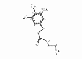 C=CCOC(=O)CCc1cc(C(C)(C)C)c(O)c(C(C)(C)C)c1